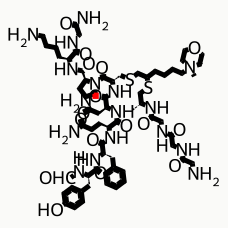 C[C@H](CSC(CCCC[N+]1(C)CCOCC1)CSC[C@H](NC(=O)[C@H](CC(N)=O)NC(=O)[C@H](CCC(N)=O)NC(=O)[C@H](Cc1ccccc1)NC(=O)[C@H](Cc1ccc(O)cc1)NC=O)C(=O)N1CCC[C@H]1C(=O)N[C@@H](CCCCN)C(=O)NCC(N)=O)NC(=O)CNC(=O)CNC(=O)CN